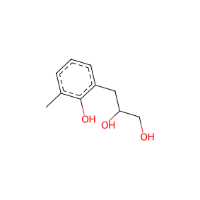 Cc1cccc(CC(O)CO)c1O